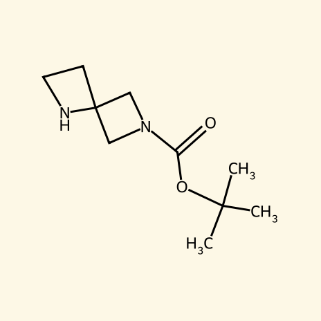 CC(C)(C)OC(=O)N1CC2(CCN2)C1